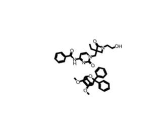 CCC1(Cn2ccc(NC(=O)c3ccccc3)nc2=O)CN(CCO)C1=O.COc1c2ccc(c1OC)C(c1ccccc1)(c1ccccc1)O2